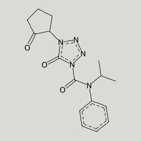 CC(C)N(C(=O)n1nnn(C2CCCC2=O)c1=O)c1ccccc1